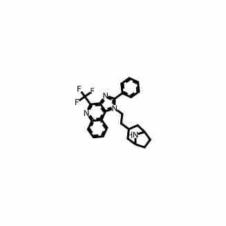 FC(F)(F)c1nc2ccccc2c2c1nc(-c1ccccc1)n2CCC1CC2CCC(C1)N2